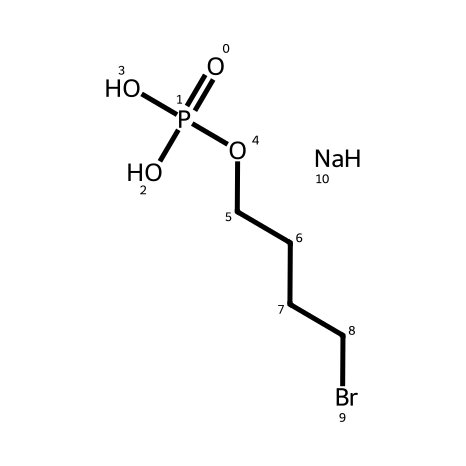 O=P(O)(O)OCCCCBr.[NaH]